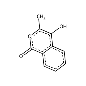 Cc1oc(=O)c2ccccc2c1O